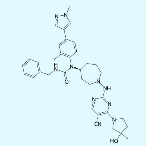 Cc1cc(-c2cnn(C)c2)ccc1N(C(=O)NCc1ccccc1)[C@H]1CCCN(Nc2ncc(C#N)c(N3CCC(C)(O)C3)n2)CC1